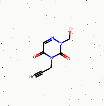 C#CCn1c(=O)cnn(CO)c1=O